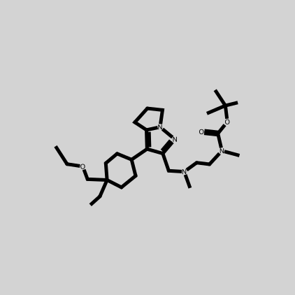 CCOCC1(CC)CCC(c2c(CN(C)CCN(C)C(=O)OC(C)(C)C)nn3c2CCC3)CC1